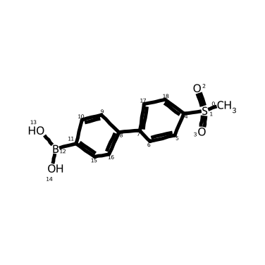 CS(=O)(=O)c1ccc(-c2ccc(B(O)O)cc2)cc1